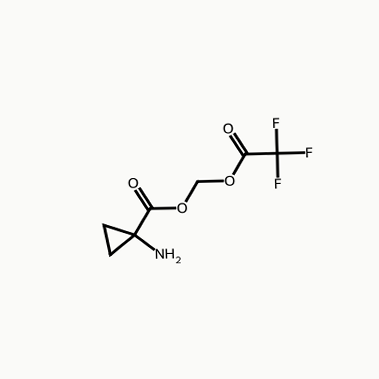 NC1(C(=O)OCOC(=O)C(F)(F)F)CC1